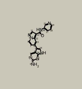 Nc1ncc2c(-c3ccn4ncc(C(=O)Nc5cccnc5)c4c3)c[nH]c2n1